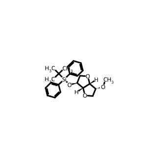 CO[C@@H]1CO[C@H]2[C@@H]1OC[C@@H]2O[Si](c1ccccc1)(c1ccccc1)C(C)(C)C